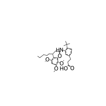 CCCCCC(CC(=O)Nc1cc(CCC(=O)O)ccc1C(C)(C)C)c1cc(OC)c(OC)cc1OC